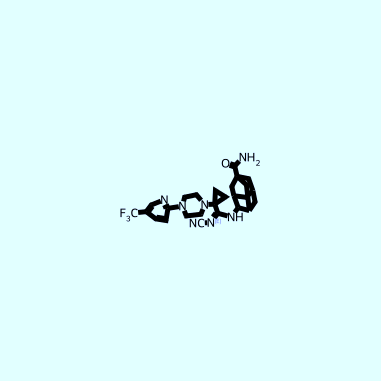 N#C/N=C(/NC1C2CC3CC1CC(C(N)=O)(C3)C2)C1(N2CCN(c3ccc(C(F)(F)F)cn3)CC2)CC1